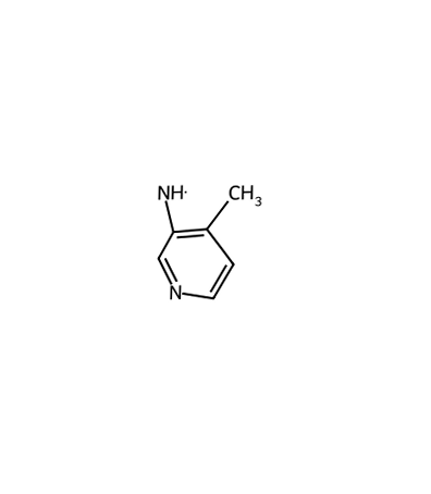 Cc1ccncc1[NH]